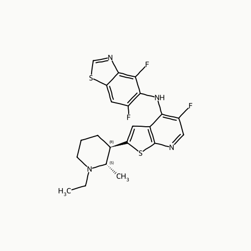 CCN1CCC[C@@H](c2cc3c(Nc4c(F)cc5scnc5c4F)c(F)cnc3s2)[C@@H]1C